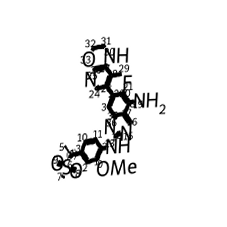 COc1cc([C@H](C)S(C)(=O)=O)ccc1Nc1ncc2c(N)c(F)c(-c3cnc4c(c3C)NCCO4)cc2n1